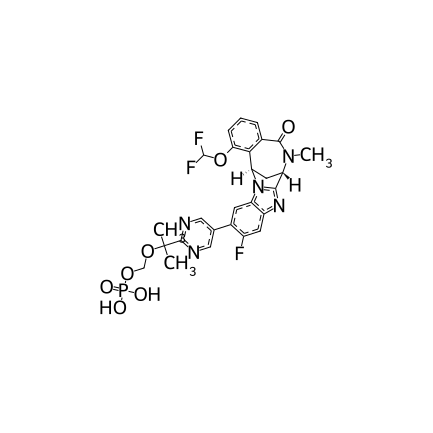 CN1C(=O)c2cccc(OC(F)F)c2[C@H]2C[C@H]1c1nc3cc(F)c(-c4cnc(C(C)(C)OCOP(=O)(O)O)nc4)cc3n12